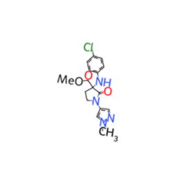 COC(=O)C1(Nc2ccc(Cl)cc2)CCN(c2cnn(C)c2)C1=O